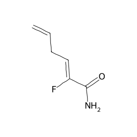 C=CC/C=C(\F)C(N)=O